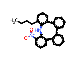 CCCCc1cccc2c1[nH]c1c([N+](=O)[O-])cccc1c1ccccc1c1ccccc21